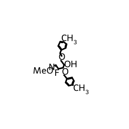 CO/N=C\[C@@H](F)[C@H](OCc1ccc(C)cc1)[C@H](O)COCc1ccc(C)cc1